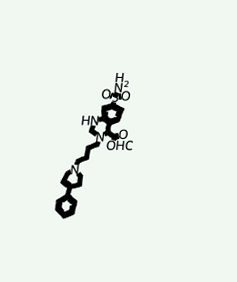 NS(=O)(=O)c1ccc2c(c1)NCN(CCCCN1CC=C(c3ccccc3)CC1)C2C(=O)C=O